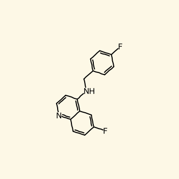 Fc1ccc(CNc2ccnc3ccc(F)cc23)cc1